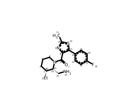 CC[C@@H]1CCCN(C(=O)c2nc(C)sc2-c2ccc(F)cc2)[C@@H]1CN